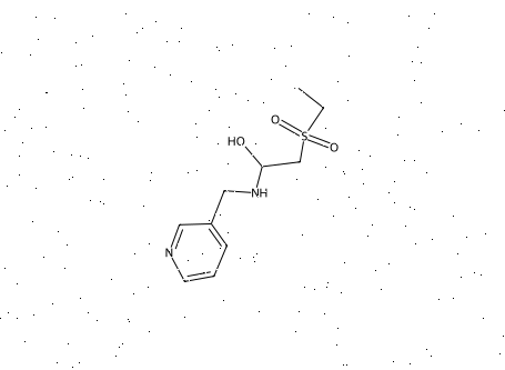 [CH2]CS(=O)(=O)CC(O)NCc1cccnc1